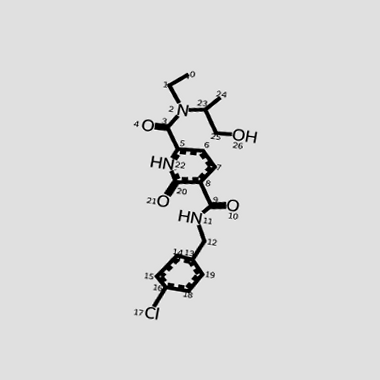 [CH2]CN(C(=O)c1ccc(C(=O)NCc2ccc(Cl)cc2)c(=O)[nH]1)C(C)CO